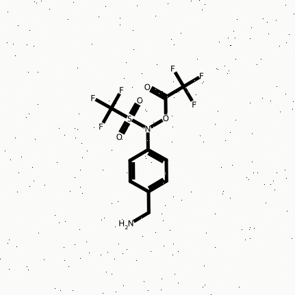 NCc1ccc(N(OC(=O)C(F)(F)F)S(=O)(=O)C(F)(F)F)cc1